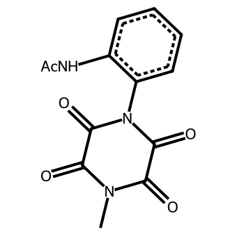 CC(=O)Nc1ccccc1N1C(=O)C(=O)N(C)C(=O)C1=O